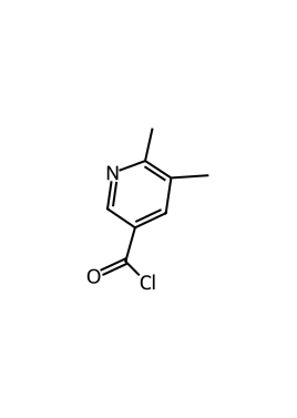 Cc1cc(C(=O)Cl)cnc1C